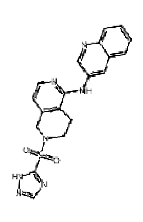 O=S(=O)(c1ncn[nH]1)N1CCc2c(ccnc2Nc2cnc3ccccc3c2)C1